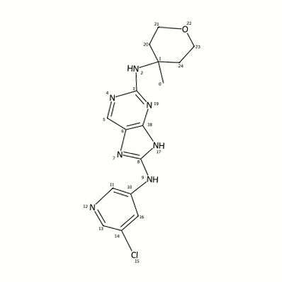 CC1(Nc2ncc3nc(Nc4cncc(Cl)c4)[nH]c3n2)CCOCC1